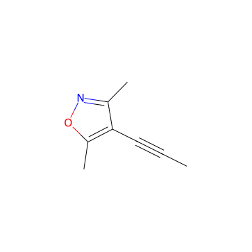 CC#Cc1c(C)noc1C